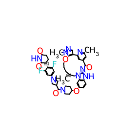 Cc1cc2cc(n1)-c1cnn(C)c1OCCC[C@@H](C)CN1/C(=N/C2=O)Nc2ccc(OC3CCN(C(=O)C4CN(c5cc(F)c([C@H]6CCC(=O)NC6=O)c(F)c5)C4)CC3)cc21